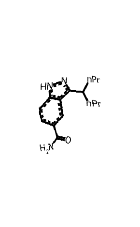 CCCC(CCC)c1n[nH]c2ccc(C(N)=O)cc12